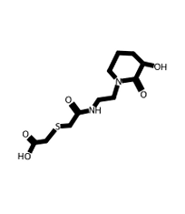 O=C(O)CSCC(=O)NCCN1CCCC(O)C1=O